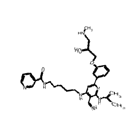 CNCC(O)COc1cccc(-c2cc(NCCCCCNC(=O)c3cccnc3)c(C=N)c(NC(C)C)n2)c1